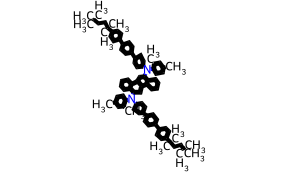 Cc1ccc(N(c2ccc(-c3ccc(-c4ccc(C(C)(C)CCC(C)(C)C)cc4)cc3)cc2)c2cc3c4ccccc4c(N(c4ccc(-c5ccc(-c6ccc(C(C)(C)CCC(C)(C)C)cc6)cc5)cc4)c4ccc(C)cc4C)cc3c3ccccc23)c(C)c1